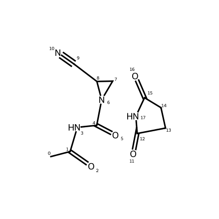 CC(=O)NC(=O)N1CC1C#N.O=C1CCC(=O)N1